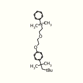 CC(C)(C)CC(C)(C)c1ccc(OCCOCC[N+](C)(C)c2ccccc2)cc1